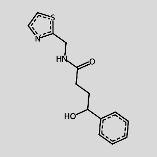 O=C(CCC(O)c1ccccc1)NCc1nccs1